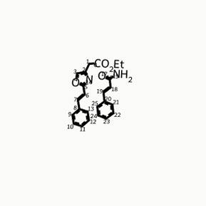 CCOC(=O)Cc1coc(C=Cc2ccccc2)n1.NC(=O)C=Cc1ccccc1